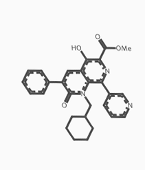 COC(=O)c1nc(-c2cccnc2)c2c(cc(-c3ccccc3)c(=O)n2CC2CCCCC2)c1O